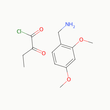 CCC(=O)C(=O)Cl.COc1ccc(CN)c(OC)c1